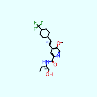 CC[C@H](CO)NC(=O)c1cc(/C=C/C2CCC(C(F)(F)F)CC2)c(OC)cn1